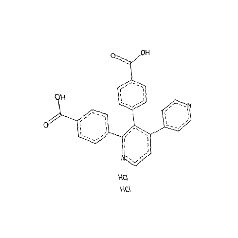 Cl.Cl.O=C(O)c1ccc(-c2nccc(-c3ccncc3)c2-c2ccc(C(=O)O)cc2)cc1